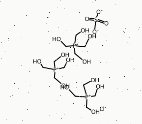 O=S(=O)([O-])[O-].OC[P+](CO)(CO)CO.OC[P+](CO)(CO)CO.OC[P+](CO)(CO)CO.[Cl-]